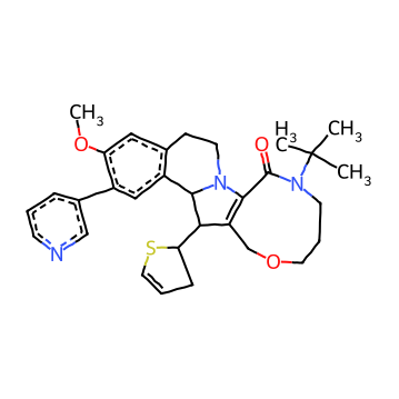 COc1cc2c(cc1-c1cccnc1)C1C(C3CC=CS3)C3=C(C(=O)N(C(C)(C)C)CCCOC3)N1CC2